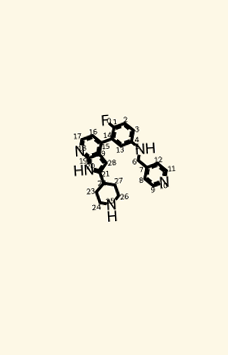 Fc1ccc(NCc2ccncc2)cc1-c1ccnc2[nH]c(C3CCNCC3)cc12